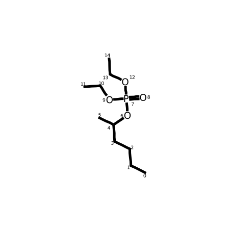 CCCCC(C)OP(=O)(OCC)OCC